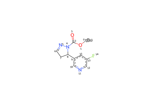 CC(C)(C)OC(=O)N1N=CCC1c1cncc(F)c1